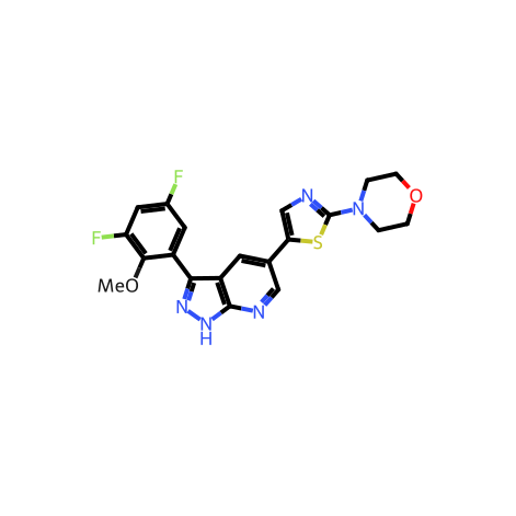 COc1c(F)cc(F)cc1-c1n[nH]c2ncc(-c3cnc(N4CCOCC4)s3)cc12